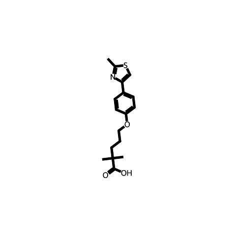 Cc1nc(-c2ccc(OCCCC(C)(C)C(=O)O)cc2)cs1